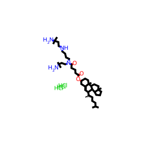 CC(C)CCC[C@@H](C)C1C=C2CC(OC(=O)CCCC(=O)N(CCCCNCCC(C)(C)N)CCC(C)(C)N)CCC2(C)C2CCC3(C)CCCC3C12.Cl.Cl.Cl